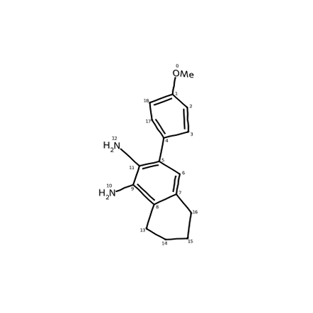 COc1ccc(-c2cc3c(c(N)c2N)CCCC3)cc1